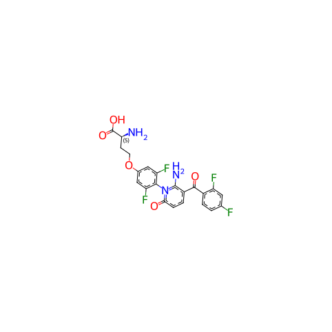 Nc1c(C(=O)c2ccc(F)cc2F)ccc(=O)n1-c1c(F)cc(OCC[C@H](N)C(=O)O)cc1F